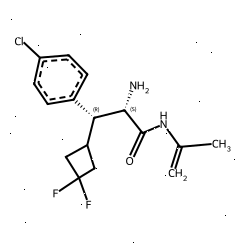 C=C(C)NC(=O)[C@@H](N)[C@@H](c1ccc(Cl)cc1)C1CC(F)(F)C1